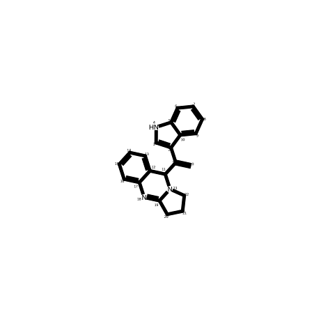 C=C(c1c[nH]c2ccccc12)C1c2ccccc2N=C2CCCN21